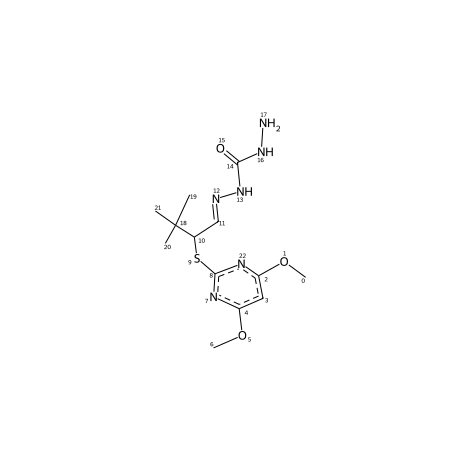 COc1cc(OC)nc(SC(C=NNC(=O)NN)C(C)(C)C)n1